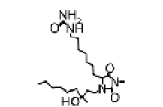 CCCCCCC(C)(O)CCN1C(=O)N(C)C(=O)C1CCCCCCCNC(N)=O